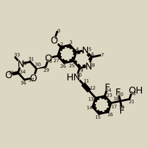 COc1cc2nc(C)nc(NC#Cc3cccc(C(F)(F)CO)c3F)c2cc1OC[C@@H]1CN(C)C(=O)CO1